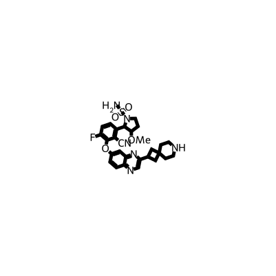 COC1CCN(S(N)(=O)=O)C1c1ccc(F)c(Oc2ccc3ncc(C4CC5(CCNCC5)C4)nc3c2)c1C#N